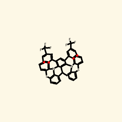 CC1c2cccc3c2N(c2ccccc2S3)c2c(-c3cccc(C(F)(F)F)c3)cc(-c3cccc(C(F)(F)F)c3)c(N3c4ccccc4Sc4ccccc43)c21